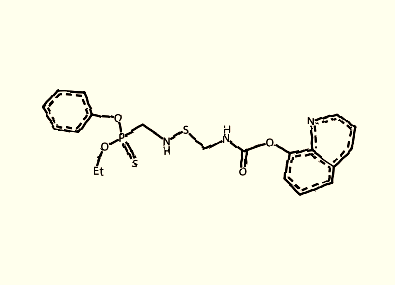 CCOP(=S)(CNSCNC(=O)Oc1cccc2cccnc12)Oc1ccccc1